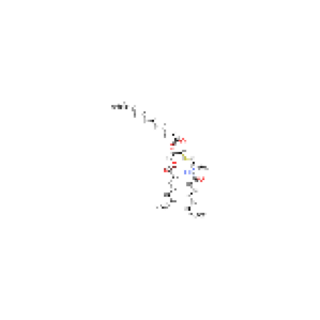 CCCCCCC=CCCCCCCCC(=O)OC(COC(=O)CCCCCCCCCCCCCCC)CSCC(NC(=O)CCCCCCCCCCCCCCC)C(C)=O